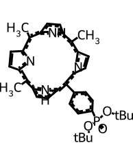 Cc1c2nc(c(C)c3ccc([nH]3)c(-c3ccc(P(=O)(OC(C)(C)C)OC(C)(C)C)cc3)c3nc(c(C)c4ccc1[nH]4)C=C3)C=C2